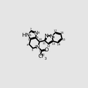 O=C(N1CCc2[nH]cnc2C1c1cc2ccccn2n1)C(F)(F)F